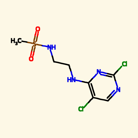 CS(=O)(=O)NCCNc1nc(Cl)ncc1Cl